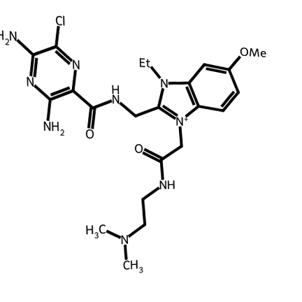 CCn1c(CNC(=O)c2nc(Cl)c(N)nc2N)[n+](CC(=O)NCCN(C)C)c2ccc(OC)cc21